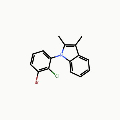 Cc1c(C)n(-c2cccc(Br)c2Cl)c2ccccc12